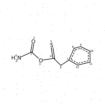 NC(=O)OC(=S)Cc1ccccc1